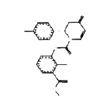 CNC(=O)c1cccc(NC(=O)N2C=CC(=O)C[C@H]2c2ccc(F)cc2)c1I